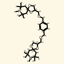 CN1C(C)(C)CC2(CC1(C)C)OCC(COCc1ccc(COCC3COC4(CC(C)(C)N(C)C(C)(C)C4)O3)cc1)O2